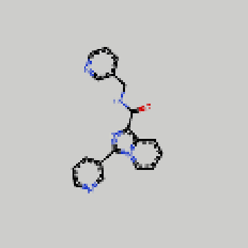 O=C(NCc1cccnc1)c1nc(-c2cccnc2)n2ccccc12